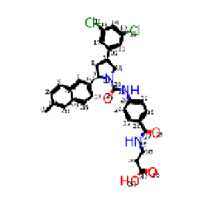 Cc1ccc2cc([C@H]3C[C@@H](c4cc(Cl)cc(Cl)c4)CN3C(=O)Nc3ccc(C(=O)NCCC(=O)O)cc3)ccc2c1